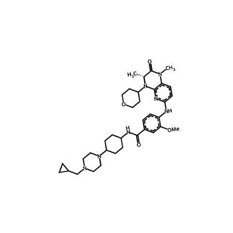 COc1cc(C(=O)NC2CCC(N3CCN(CC4CC4)CC3)CC2)ccc1Nc1ccc2c(n1)N(C1CCOCC1)[C@H](C)C(=O)N2C